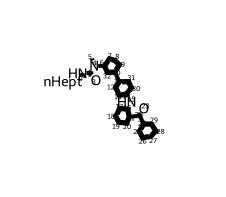 CCCCCCCNC(=O)N(C)c1cccc(-c2ccc(Nc3ccccc3C(=O)c3ccccc3)cc2)c1